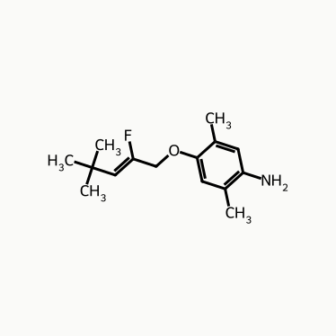 Cc1cc(OC/C(F)=C/C(C)(C)C)c(C)cc1N